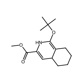 COC(=O)C1=CC2CCCCC2=C(OC(C)(C)C)N1